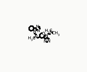 CN(C)CCn1c2c(c3ncncc31)CC(CN(C)CCn1c3c(c4nccnc41)CCCCC3)CCO2